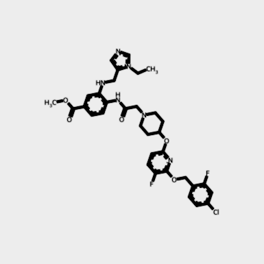 CCn1cncc1CNc1cc(C(=O)OC)ccc1NC(=O)CN1CCC(Oc2ccc(F)c(OCc3ccc(Cl)cc3F)n2)CC1